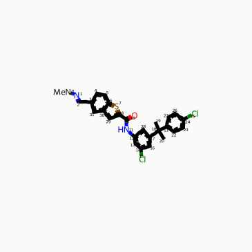 CNN=Cc1ccc2sc(C(=O)Nc3cc(Cl)cc(C(C)(C)c4ccc(Cl)cc4)c3)cc2c1